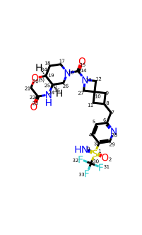 N=S(=O)(c1ccc(CC2CC3(C2)CN(C(=O)N2CC[C@@H]4OCC(=O)N[C@@H]4C2)C3)nc1)C(F)(F)F